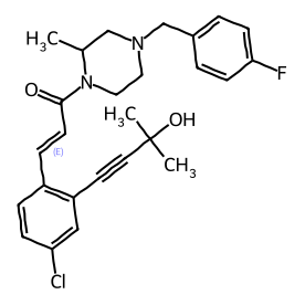 CC1CN(Cc2ccc(F)cc2)CCN1C(=O)/C=C/c1ccc(Cl)cc1C#CC(C)(C)O